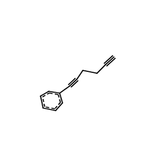 C#CCCC#Cc1ccccc1